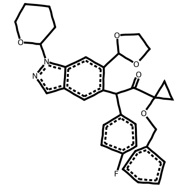 O=C(C(c1ccc(F)cc1)c1cc2cnn(C3CCCCO3)c2cc1C1OCCO1)C1(OCc2ccccc2)CC1